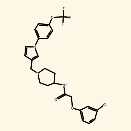 O=C(COc1cccc(Cl)c1)NC1CCN(Cc2ccn(-c3ccc(OC(F)(F)F)cc3)c2)CC1